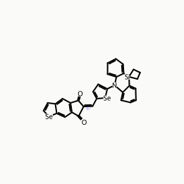 O=C1/C(=C\c2ccc(N3c4ccccc4[Si]4(CCC4)c4ccccc43)[se]2)C(=O)c2cc3[se]ccc3cc21